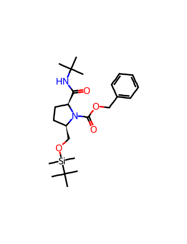 CC(C)(C)NC(=O)[C@@H]1CC[C@H](CO[Si](C)(C)C(C)(C)C)N1C(=O)OCc1ccccc1